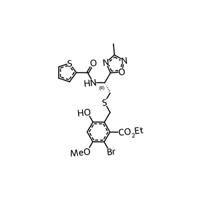 CCOC(=O)c1c(Br)c(OC)cc(O)c1CSC[C@H](NC(=O)c1cccs1)c1nc(C)no1